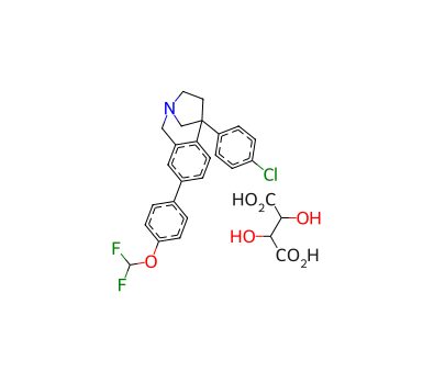 FC(F)Oc1ccc(-c2ccc3c(c2)CN2CCC3(c3ccc(Cl)cc3)C2)cc1.O=C(O)C(O)C(O)C(=O)O